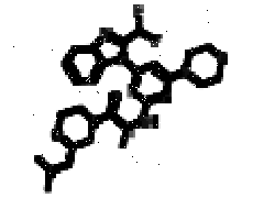 C[C@H](Nc1nc(N2CCOCC2)cc(-n2c(C(F)F)nc3ccccc32)n1)C(=O)N1CCOC(CN(C)C)C1